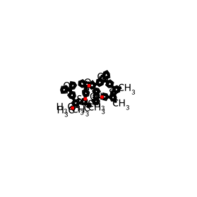 Cc1cc(-c2ccc(N3c4ccccc4Oc4ccccc43)cc2)c2sc3c(-c4ccc(N5c6ccccc6Oc6cc(-c7ccc8c(c7)Oc7ccccc7N8c7ccc(-c8cc(C(C)(C)C)cc9c8sc8c(-c%10ccc(N%11c%12ccccc%12Oc%12ccccc%12%11)cc%10)cc(C(C)(C)C)cc89)cc7)ccc65)cc4)cc(C)cc3c2c1